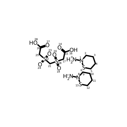 NN1CCCCS1.NN1CCCCS1.O=C(O)CS(=O)(=O)CS(=O)(=O)CC(=O)O